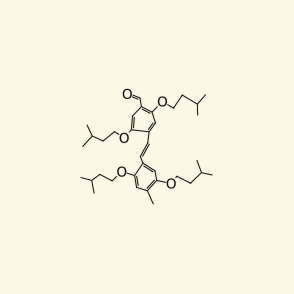 Cc1cc(OCCC(C)C)c(C=Cc2cc(OCCC(C)C)c(C=O)cc2OCCC(C)C)cc1OCCC(C)C